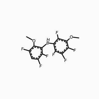 COc1c(F)c(F)c(F)c(Bc2c(F)c(F)cc(F)c2OC)c1F